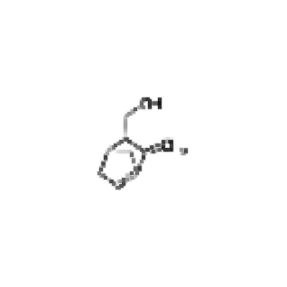 C=C1C2=CCC(C2)C1CO